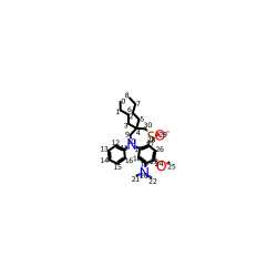 CCCCC1(CCCC)CN(c2ccccc2)c2cc(N(C)C)c(OC)cc2[S+]([O-])C1